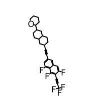 Fc1cc2cc(C#CC3CCC4CC(C5CCCCO5)CCC4C3)cc(F)c2c(F)c1C#CC(F)(F)F